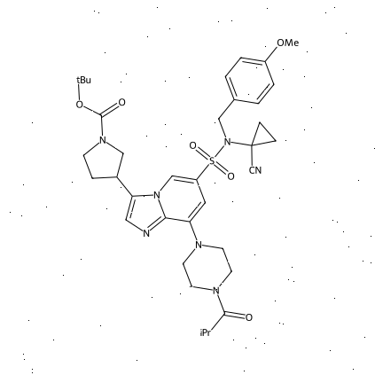 COc1ccc(CN(C2(C#N)CC2)S(=O)(=O)c2cc(N3CCN(C(=O)C(C)C)CC3)c3ncc(C4CCN(C(=O)OC(C)(C)C)C4)n3c2)cc1